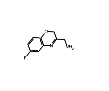 NCC1=Nc2cc(F)ccc2OC1